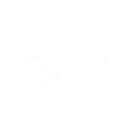 NC(=O)n1nc(C=Cc2ccncc2)c2c[c]cc(F)c21